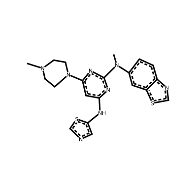 CN1CCN(c2cc(Nc3cncs3)nc(N(C)c3ccc4ncsc4c3)n2)CC1